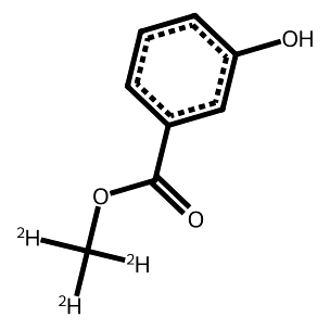 [2H]C([2H])([2H])OC(=O)c1cccc(O)c1